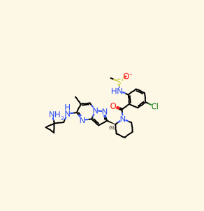 Cc1cn2nc([C@@H]3CCCCN3C(=O)c3cc(Cl)ccc3N[S+](C)[O-])cc2nc1NCC1(N)CC1